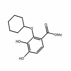 COC(=O)c1ccc(O)c(O)c1OC1CCCCC1